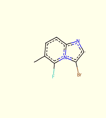 Cc1ccc2n[c]c(Br)n2c1F